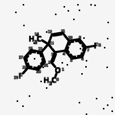 COC=C1c2ccc(F)cc2C=CC1(C)c1ccc(F)cc1